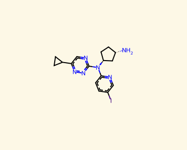 N[C@H]1CC[C@H](N(c2ccc(I)cn2)c2ncc(C3CC3)nn2)C1